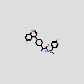 CC(C(=O)N[C@H](C)c1ccc(Cl)cc1)C1CCC(c2ccnc3ccc(F)cc23)CC1